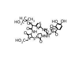 CC(C)(O/N=C(\C(=O)N[C@@H]1C(=O)N(CC(=O)O)C1SN1CCN(NC(=O)CN(O)C(=O)c2ccc(O)c(O)c2Cl)C1=O)c1csc(N)n1)C(=O)O